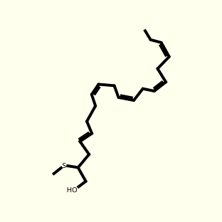 CC/C=C\C/C=C\C/C=C\C/C=C\CC/C=C/CC(CO)SC